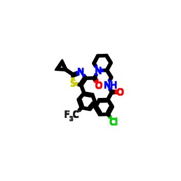 O=C(NCC1CCCCN1C(=O)c1nc(C2CC2)sc1-c1cccc(C(F)(F)F)c1)c1cccc(Cl)c1